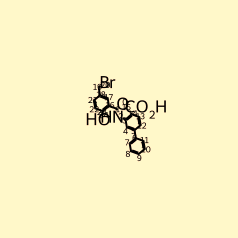 O=C(Nc1cc(-c2ccccc2)ccc1C(=O)O)c1cc(CBr)ccc1O